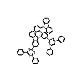 c1ccc(-c2cc(-c3ccccc3)nc(-c3ccc(-c4ccccc4-n4c5ccccc5c5ccccc54)c(-n4c5ccccc5c5cc(-c6nc(-c7ccccc7)nc(-c7ccccc7)n6)ccc54)c3)n2)cc1